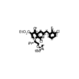 CCOC(=O)c1cn([C@H](CO[Si](C)(C)C(C)(C)C)C(C)C)c2c(Cl)nc(Cc3cccc(Cl)c3F)cc2c1=O